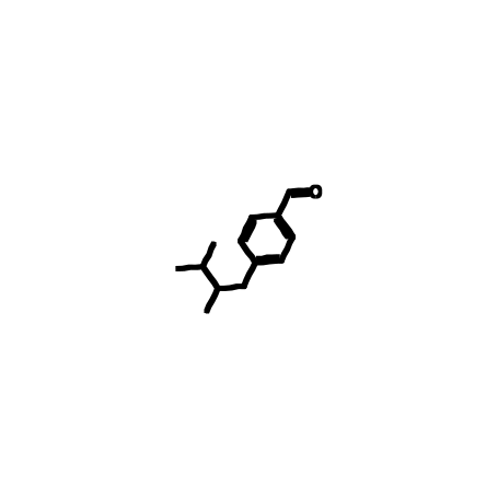 CC(C)C(C)Cc1ccc(C=O)cc1